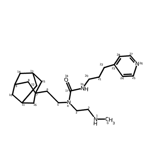 CNCCN(CCC12CC3CC(CC(C3)C1)C2)C(=O)NCCCc1ccncc1